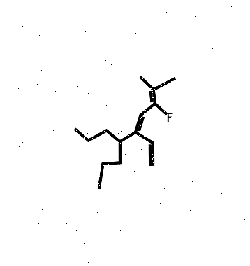 C=C/C(=C\C(F)=C(C)C)C(CCC)CCC